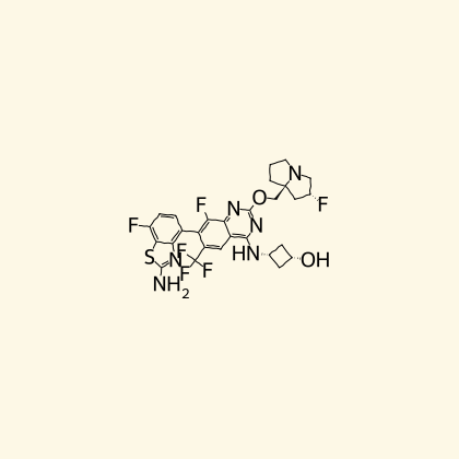 Nc1nc2c(-c3c(C(F)(F)F)cc4c(N[C@H]5C[C@@H](O)C5)nc(OC[C@@]56CCCN5C[C@H](F)C6)nc4c3F)ccc(F)c2s1